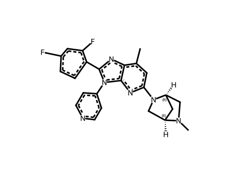 Cc1cc(N2C[C@H]3C[C@@H]2CN3C)nc2c1nc(-c1ccc(F)cc1F)n2-c1ccncc1